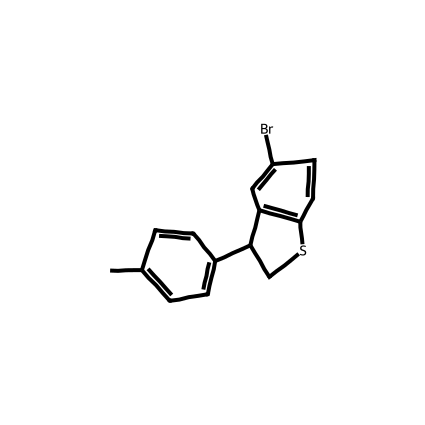 Cc1ccc(C2CSc3ccc(Br)cc32)cc1